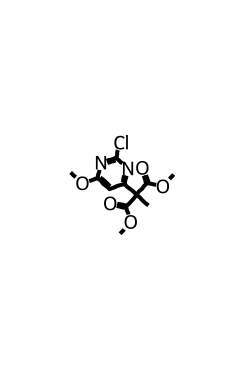 COC(=O)C(C)(C(=O)OC)c1cc(OC)nc(Cl)n1